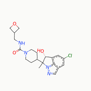 CC1(C2CCN(C(=O)NCC3COC3)CC2)[C@H](O)c2cc(Cl)cc3cnn1c23